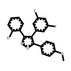 COc1ccc(-c2onc(-c3ccccc3Cl)c2-c2cc(F)cc(F)c2)cc1